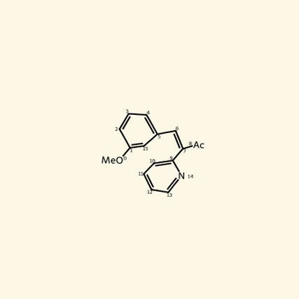 COc1cccc(C=C(C(C)=O)c2ccccn2)c1